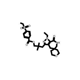 CCn1nc(CC(C)(C)COC(=O)c2ccc(S(=O)(=O)CC)cc2)c2c1C(=O)NCC1(CCOCC1)C2